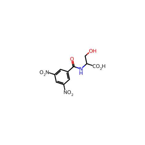 O=C(NC(CO)C(=O)O)c1cc([N+](=O)[O-])cc([N+](=O)[O-])c1